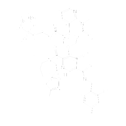 CC1=NO[C@@]2(CC[C@H](C)N3C[C@H]2n2cc(C(=O)NCc4ccc(F)cc4F)c(=O)c(OCOC(=O)N(C)c4ncccc4CN(C)C(=O)OCOP(=O)(OC(C)(C)C)OC(C)(C)C)c2C3=O)C1